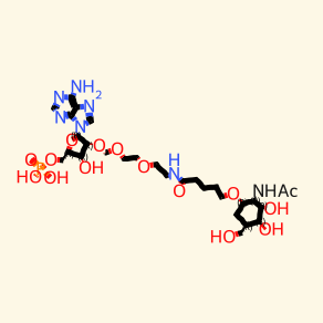 CC(=O)N[C@@H]1[C@@H](O)[C@@H](O)[C@@H](CO)C[C@H]1OCCCCC(=O)NCCOCCOCO[C@@H]1[C@H](O)[C@@H](COP(=O)(O)O)O[C@H]1n1cnc2c(N)ncnc21